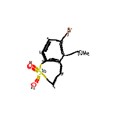 COc1c(Br)ccc2c1CCS2(=O)=O